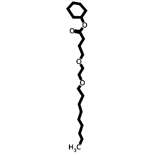 CCCCCCCCCOCCOCCCC(=O)OC1CCCCC1